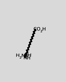 N=C(N)NCCCCCCCCCCCCCCCCCCC(=O)O